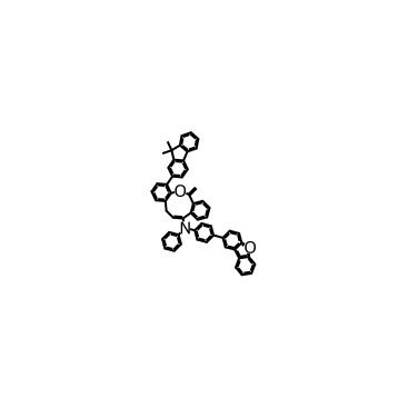 C=C1Oc2c(cccc2-c2ccc3c(c2)C(C)(C)c2ccccc2-3)C/C=C(/N(c2ccccc2)c2ccc(-c3ccc4oc5ccccc5c4c3)cc2)c2ccccc21